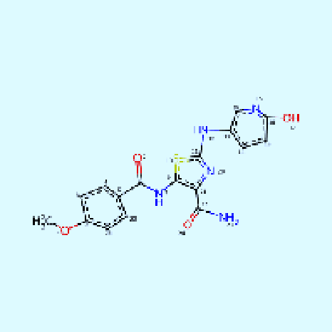 COc1ccc(C(=O)Nc2sc(Nc3ccc(O)nc3)nc2C(N)=O)cc1